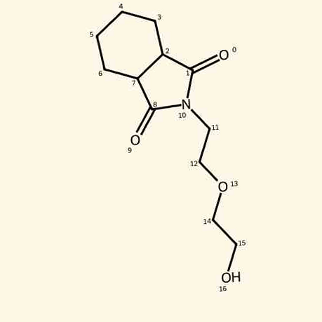 O=C1C2CCCCC2C(=O)N1CCOCCO